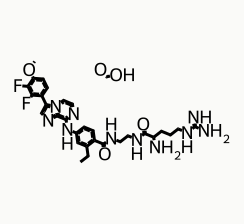 CCc1cc(Nc2nccn3c(-c4ccc(OC)c(F)c4F)cnc23)ccc1C(=O)NCCNC(=O)C(N)CCCNC(=N)N.O=CO